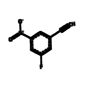 C#Cc1cc(F)cc([N+](=O)[O-])c1